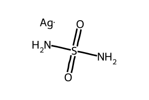 NS(N)(=O)=O.[Ag]